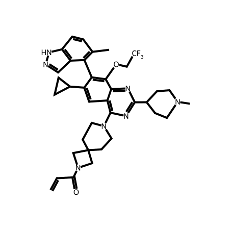 C=CC(=O)N1CC2(CCN(c3nc(C4CCN(C)CC4)nc4c(OCC(F)(F)F)c(-c5c(C)ccc6[nH]ncc56)c(C5CC5)cc34)CC2)C1